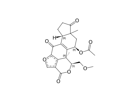 COC[C@H]1OC(=O)c2coc3c2[C@@]1(C)C1=C(C3=O)[C@@H]2CCC(=O)C2(C)C[C@H]1OC(C)=O